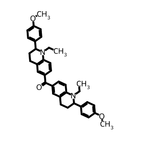 CCN1c2ccc(C(=O)c3ccc4c(c3)CCC(c3ccc(OC)cc3)N4CC)cc2CCC1c1ccc(OC)cc1